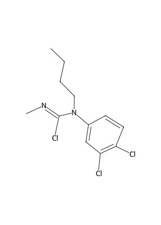 CCCCN(C(Cl)=NC)c1ccc(Cl)c(Cl)c1